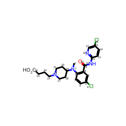 CN(c1ccc(Cl)cc1C(=O)Nc1ccc(Cl)cn1)C1CCN(CCCC(=O)O)CC1